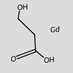 O=C(O)CCO.[Gd]